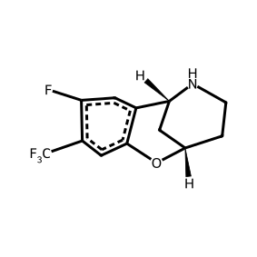 Fc1cc2c(cc1C(F)(F)F)O[C@H]1CCN[C@@H]2C1